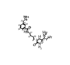 CC(C)C[C@H](NF)C(=O)N[C@@H](CCCCNC(=O)c1cccc(CN=N)c1)C(N)=O